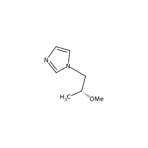 CO[C@H](C)Cn1ccnc1